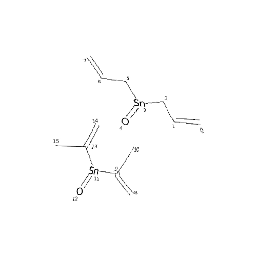 C=C[CH2][Sn](=[O])[CH2]C=C.C=[C](C)[Sn](=[O])[C](=C)C